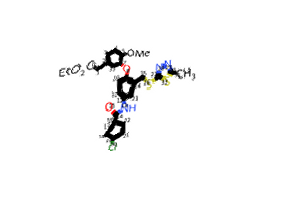 CCOC(=O)Cc1ccc(OC)c(Oc2ccc(NC(=O)c3ccc(Cl)cc3)cc2CSc2nnc(C)s2)c1